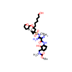 C=N/C(C(=O)Nc1cccc(CN(C)C(=O)OC(C)(C)C)c1O)=C(/N)N(C)S(=O)(=O)C1(CC(C)(CCCCCCO)OC2CCCCO2)CC1